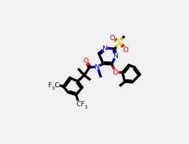 Cc1ccccc1Oc1nc(S(C)(=O)=O)ncc1N(C)C(=O)C(C)(C)c1cc(C(F)(F)F)cc(C(F)(F)F)c1